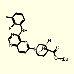 Cc1cccc(Nc2ncnc3ccc(N4C[C@H]5CCC4CN5C(=O)OC(C)(C)C)nc23)c1F